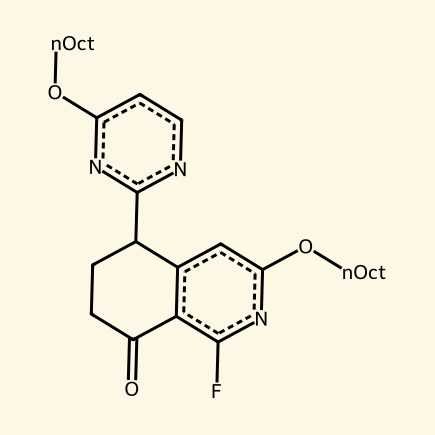 CCCCCCCCOc1ccnc(C2CCC(=O)c3c2cc(OCCCCCCCC)nc3F)n1